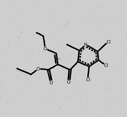 CCO/C=C(\C(=O)OCC)C(=O)c1c(C)nc(Cl)c(Cl)c1Cl